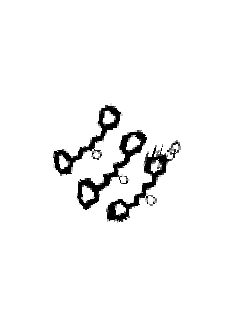 O.O.O=C(C=Cc1ccccc1)C=Cc1ccccc1.O=C(C=Cc1ccccc1)C=Cc1ccccc1.O=C(C=Cc1ccccc1)C=Cc1ccccc1